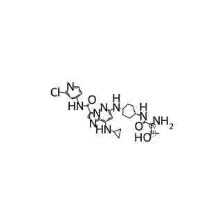 C[C@@H](O)[C@H](N)C(=O)N[C@H]1CC[C@H](Nc2cc(NC3CC3)c3ncc(C(=O)Nc4ccnc(Cl)c4)n3n2)CC1